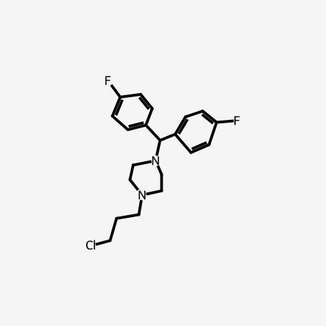 Fc1ccc(C(c2ccc(F)cc2)N2CCN(CCCCl)CC2)cc1